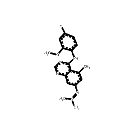 COc1cc(F)ccc1Nc1ncnc2cc(N=S(C)C)cc(C)c12